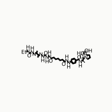 CCNC(=O)N/N=C(C)/C(C)=N/NC(=O)NNC(=O)CCCCCC(=O)NNc1ccc(C(=O)N[C@H](C)C(=O)N2CCC[C@H]2B(O)O)cc1